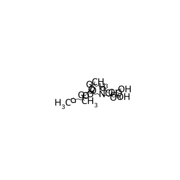 Cc1ccc(CCC(C)C(=O)OCC(COC(=O)C(C)CCc2ccc(C)cc2)OC(=O)CCCNCCCC(=O)OC(CO)COCO)cc1